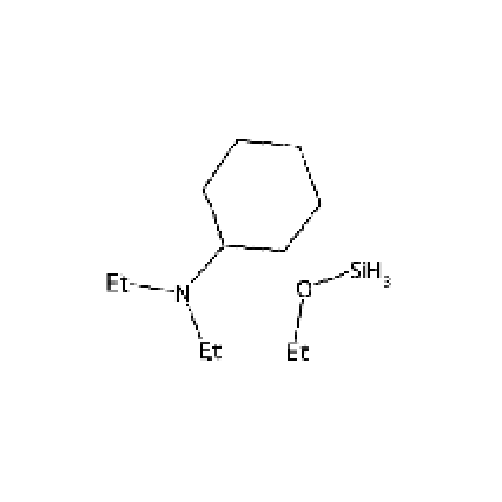 CCN(CC)C1CCCCC1.CCO[SiH3]